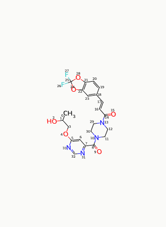 CC(O)COc1cc(C(=O)N2CCN(C(=O)C=Cc3ccc4c(c3)OC(F)(F)O4)CC2)ncn1